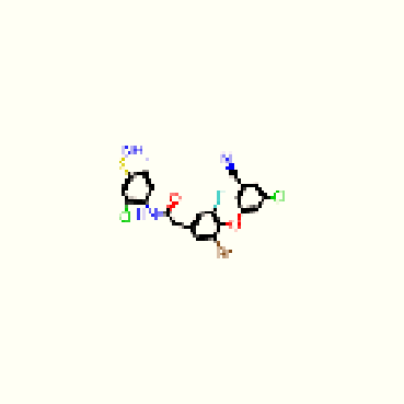 N#Cc1cc(Cl)cc(Oc2c(F)cc(CC(=O)Nc3ccc(SN)cc3Cl)cc2Br)c1